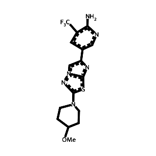 COC1CCN(c2nn3cc(-c4cnc(N)c(C(F)(F)F)c4)nc3s2)CC1